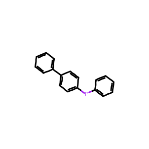 c1ccc([I+]c2ccc(-c3ccccc3)cc2)cc1